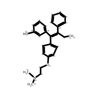 CC/C(=C(\c1ccc(OCCN(C)C)cc1)c1cccc(O)c1)c1ccccc1